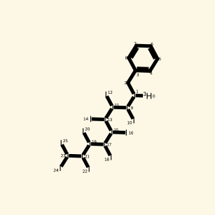 [3H]I(Cc1ccccc1)I(I)I(I)I(I)I(I)I(I)I(I)I(I)I(I)I